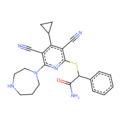 N#Cc1c(SC(C(N)=O)c2ccccc2)nc(N2CCCNCC2)c(C#N)c1C1CC1